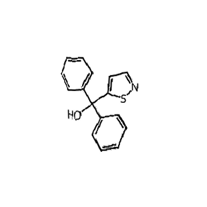 OC(c1ccccc1)(c1ccccc1)c1ccns1